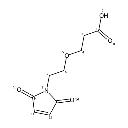 O=C(O)CCOCCN1C(=O)C=CC1=O